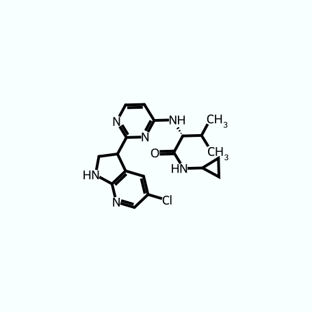 CC(C)[C@@H](Nc1ccnc(C2CNc3ncc(Cl)cc32)n1)C(=O)NC1CC1